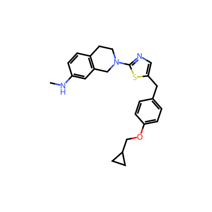 CNc1ccc2c(c1)CN(c1ncc(Cc3ccc(OCC4CC4)cc3)s1)CC2